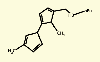 CCCCBCC1=CC=C(C2C=CC(C)=C2)C1C